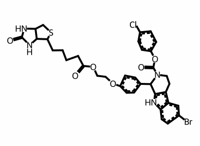 O=C1NC2CSC(CCCCC(=O)OCCOc3ccc(C4c5[nH]c6ccc(Br)cc6c5CCN4C(=O)Oc4ccc(Cl)cc4)cc3)C2N1